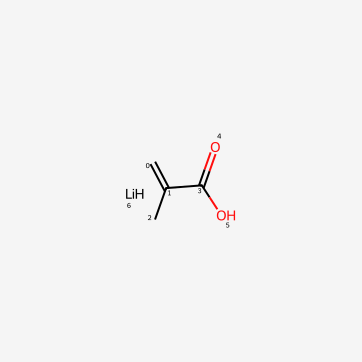 C=C(C)C(=O)O.[LiH]